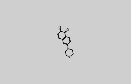 O=C1C=Cc2cc(N3CCOCC3)ccc2C1=O